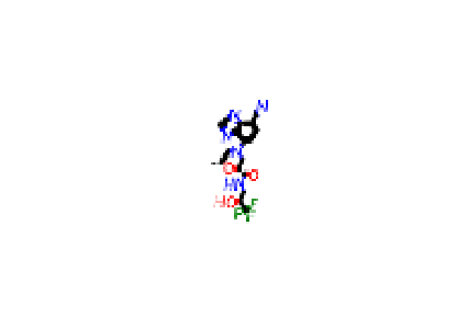 C[C@@H]1CN(c2ccc(C#N)c3nccnc23)C[C@H](C(=O)NCC(O)C(F)(F)F)O1